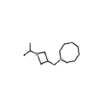 CC(C)N1CC(CN2CCCCCCC2)C1